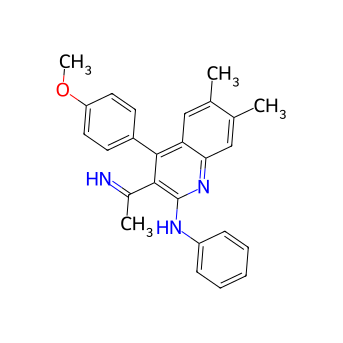 COc1ccc(-c2c(C(C)=N)c(Nc3ccccc3)nc3cc(C)c(C)cc23)cc1